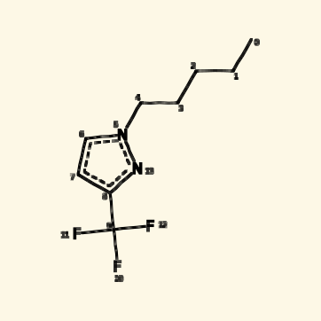 CCCCCn1ccc(C(F)(F)F)n1